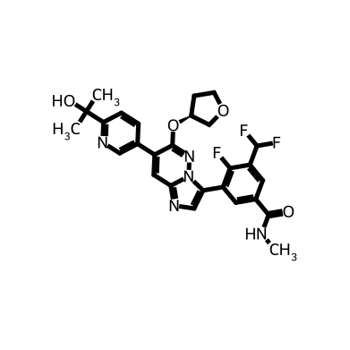 CNC(=O)c1cc(-c2cnc3cc(-c4ccc(C(C)(C)O)nc4)c(O[C@H]4CCOC4)nn23)c(F)c(C(F)F)c1